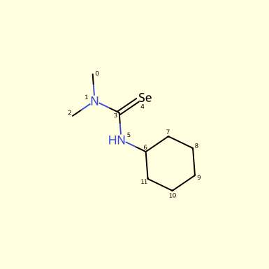 CN(C)C(=[Se])NC1CCCCC1